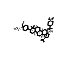 C=C(C)[C@@H]1CC[C@]2(NC(C)(C)C3CCS(=O)(=O)CC3)CC[C@]3(C)[C@H](CC[C@@H]4[C@@]5(C)CC=C(C6=CC[C@](CF)(C(=O)O)CC6)C(C)(C)[C@@H]5CC[C@]43C)[C@@H]12